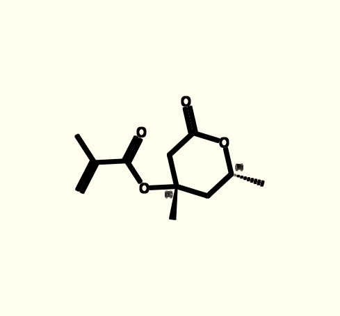 C=C(C)C(=O)O[C@]1(C)CC(=O)O[C@H](C)C1